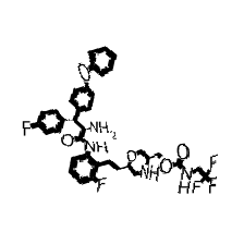 N[C@H](C(=O)Nc1cccc(F)c1CC[C@@H]1CN[C@H](COC(=O)NCC(F)(F)F)CO1)[C@H](c1ccc(F)cc1)c1ccc(Oc2ccccc2)cc1